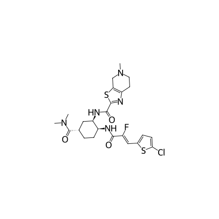 CN1CCc2nc(C(=O)N[C@@H]3C[C@@H](C(=O)N(C)C)CC[C@@H]3NC(=O)/C(F)=C/c3ccc(Cl)s3)sc2C1